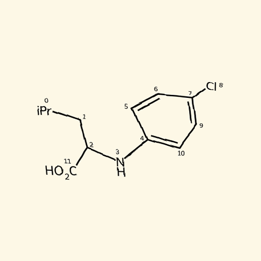 CC(C)CC(Nc1ccc(Cl)cc1)C(=O)O